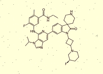 CCNC(=O)c1cc(Nc2nc(-c3ccc4c(c3)N(C3CC(N5CCC[C@@H](F)C5)C3)C(=O)C43CCNCC3)cc3ncn(C(C)C)c23)c(F)cc1C